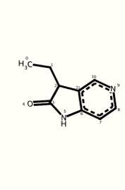 CCC1C(=O)Nc2ccncc21